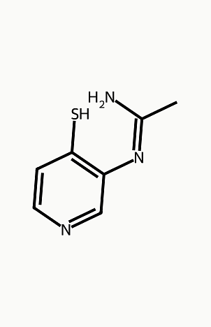 C/C(N)=N/c1cnccc1S